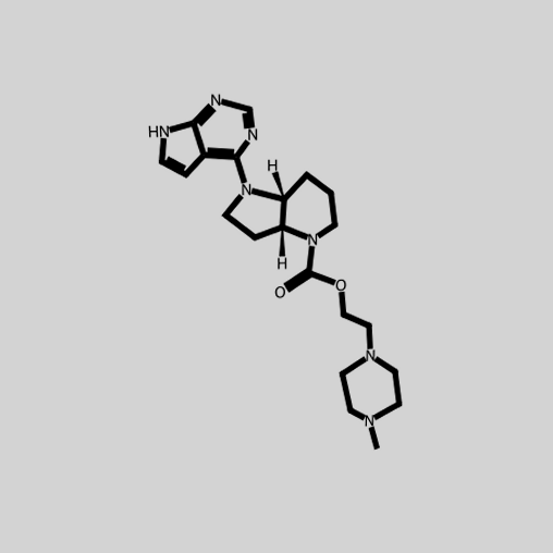 CN1CCN(CCOC(=O)N2CCC[C@@H]3[C@H]2CCN3c2ncnc3[nH]ccc23)CC1